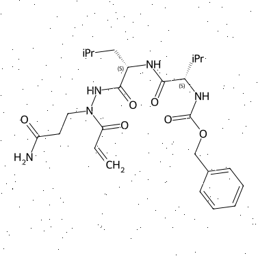 C=CC(=O)N(CCC(N)=O)NC(=O)[C@H](CC(C)C)NC(=O)[C@@H](NC(=O)OCc1ccccc1)C(C)C